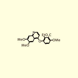 CCOC(=O)c1cc(OC)ccc1Oc1ccnc2cc(OC)c(OC)cc12